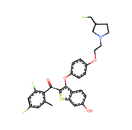 Cc1cc(F)cc(F)c1C(=O)c1sc2cc(O)ccc2c1Oc1ccc(OCCN2CCC(CF)C2)cc1